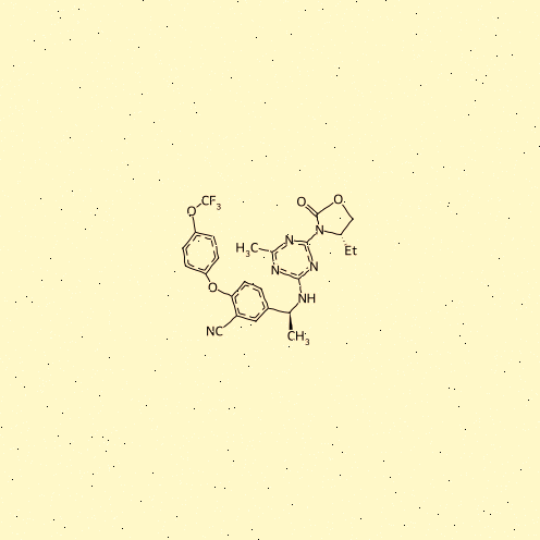 CC[C@H]1COC(=O)N1c1nc(C)nc(N[C@@H](C)c2ccc(Oc3ccc(OC(F)(F)F)cc3)c(C#N)c2)n1